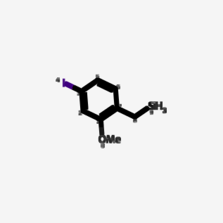 COc1cc(I)ccc1C[SiH3]